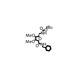 CO[C@H]1[C@H](OC)C(C(=O)NCc2ccccc2)O[C@@H]1CNC(=O)OC(C)(C)C